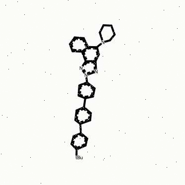 CC(C)(C)c1ccc(-c2ccc(-c3ccc(-n4nc5cc(N6CCCCC6)c6ccccc6c5n4)cc3)cc2)cc1